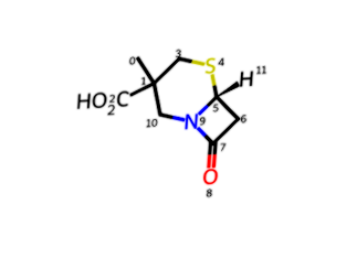 CC1(C(=O)O)CS[C@@H]2CC(=O)N2C1